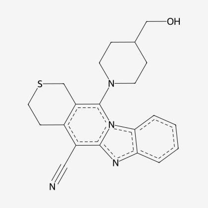 N#Cc1c2c(c(N3CCC(CO)CC3)n3c1nc1ccccc13)CSCC2